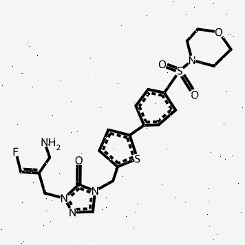 NC/C(=C\F)Cn1ncn(Cc2ccc(-c3ccc(S(=O)(=O)N4CCOCC4)cc3)s2)c1=O